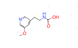 COc1cncc(CCNC(=O)O)c1